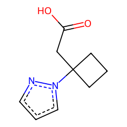 O=C(O)CC1(n2cccn2)CCC1